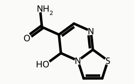 NC(=O)C1=CN=C2SC=CN2C1O